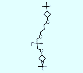 CC(C)(C)C1CC(OCCCOCC(F)(F)COC2CN(C(C)(C)C)C2)C1